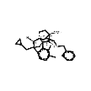 CO[C@]12CC[C@@]3(C[C@@H]1CNCc1ccccc1)[C@H]1Cc4ccc(C)c5c4[C@@]3(CCN1CC1CC1)[C@H]2O5